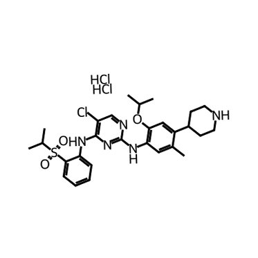 Cc1cc(Nc2ncc(Cl)c(Nc3ccccc3S(=O)(=O)C(C)C)n2)c(OC(C)C)cc1C1CCNCC1.Cl.Cl